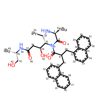 CCCC[C@H](N)C(=O)N(C(=O)C(Cc1cccc2ccccc12)Cc1cccc2ccccc12)[C@@H](CC(C)C)[C@@H](O)CC(=O)N[C@H](CO)[C@@H](C)CC